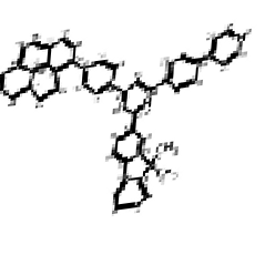 CC1(C)c2ccccc2-c2ccc(-c3nc(-c4ccc(-c5ccncc5)cc4)cc(-c4ccc(-c5ccc6ccc7cccc8ccc5c6c78)cc4)n3)cc21